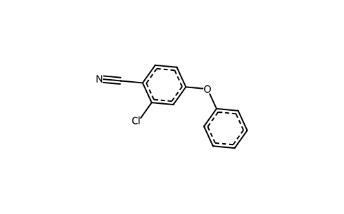 N#Cc1ccc(Oc2ccccc2)cc1Cl